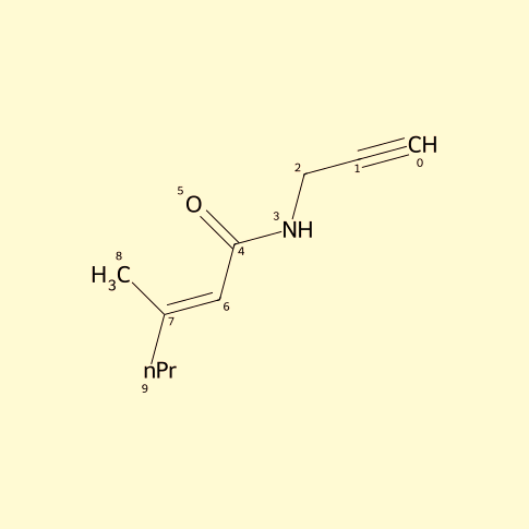 C#CCNC(=O)/C=C(\C)CCC